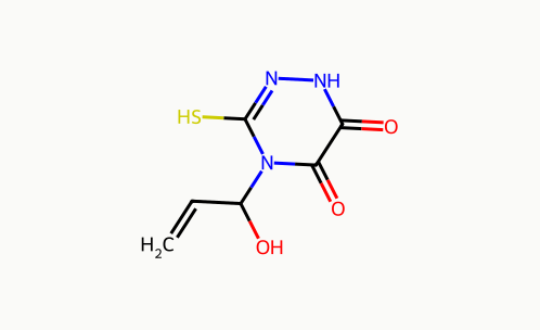 C=CC(O)n1c(S)n[nH]c(=O)c1=O